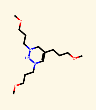 COCCCC1=CN(CCCOC)NN(CCCOC)C1